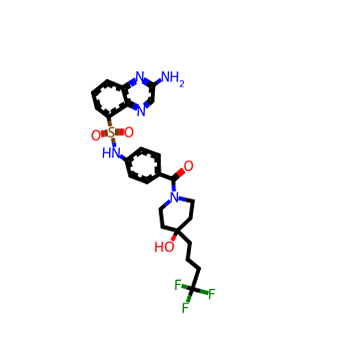 Nc1cnc2c(S(=O)(=O)Nc3ccc(C(=O)N4CCC(O)(CCCC(F)(F)F)CC4)cc3)cccc2n1